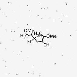 [CH2]C(CC)(CC(C)C(C)OC)C(C)OC